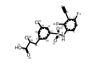 C#Cc1c(F)ccc(NS(=O)(=O)c2cc(Cl)cc(CC(Cl)C(=O)O)c2)c1F